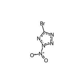 O=[N+]([O-])n1nnc(Br)n1